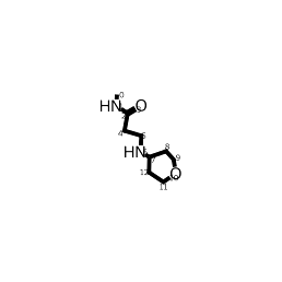 CNC(=O)CCNC1CCOCC1